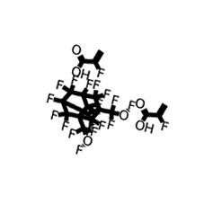 C=C(F)C(=O)O.C=C(F)C(=O)O.FOC(F)(F)C12C(F)(F)C3(F)C(F)(F)C(F)(C1(F)F)C(F)(F)C(C(F)(F)OF)(C3(F)F)C2(F)F